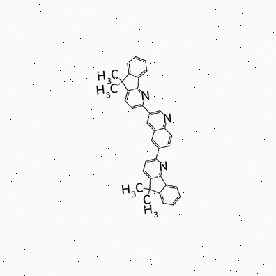 CC1(C)c2ccccc2-c2nc(-c3ccc4ncc(-c5ccc6c(n5)-c5ccccc5C6(C)C)cc4c3)ccc21